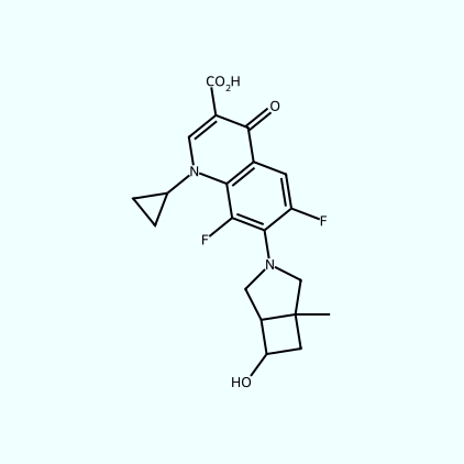 CC12CC(O)C1CN(c1c(F)cc3c(=O)c(C(=O)O)cn(C4CC4)c3c1F)C2